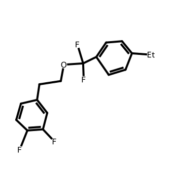 CCc1ccc(C(F)(F)OCCc2ccc(F)c(F)c2)cc1